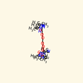 C=C1c2ccccc2CN1[C@H](C(=O)N1CC(C)C[C@H]1C(=O)NCc1ccc(C2=C(C)N=CC2)cc1OCCOCCOCCCCOCCOCCCC(=O)CC1NC(c2ccc(C)cc2)C2C(C)=C(C)CC2n2c(C)nnc21)C(C)C